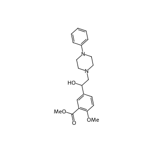 COC(=O)c1cc(C(O)CN2CCN(c3ccccc3)CC2)ccc1OC